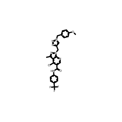 COc1ccc(Cn2cc(Cn3nc(C)c4c(Cl)c(C(=O)Nc5ccc(C(F)(F)F)cc5)cnc43)nn2)cc1